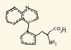 NC(Cc1ccccc1-c1ccnc2ccccc12)C(=O)O